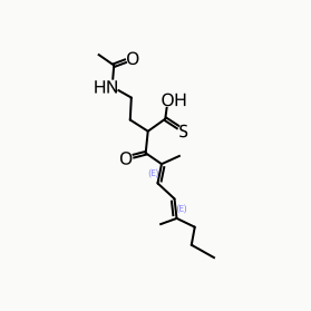 CCC/C(C)=C/C=C(\C)C(=O)C(CCNC(C)=O)C(O)=S